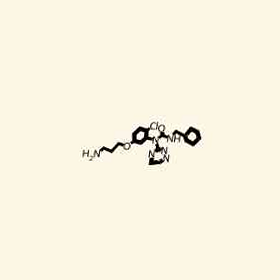 NCCCOc1ccc(Cl)c(N(C(=O)NCc2ccccc2)c2nccnn2)c1